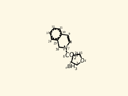 B.C1CCOC1.O=C(O)N1C=Cc2ccccc2C1